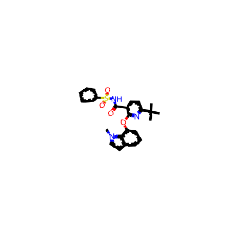 Cn1ccc2cccc(Oc3nc(C(C)(C)C)ccc3C(=O)NS(=O)(=O)c3ccccc3)c21